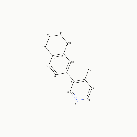 Cc1ccncc1-c1ccc2c(c1)[CH]CCC2